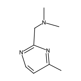 Cc1ccnc(CN(C)C)n1